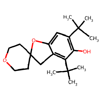 CC(C)(C)c1cc2c(c(C(C)(C)C)c1O)CC1(CCOCC1)O2